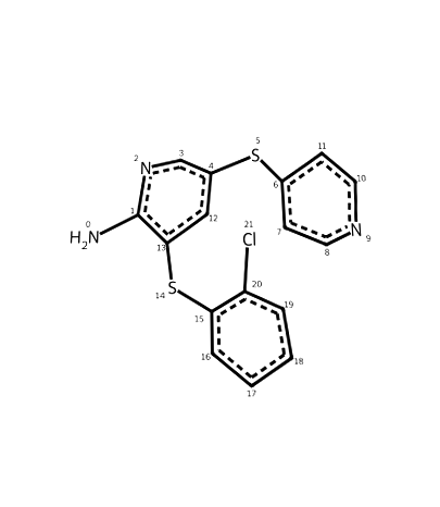 Nc1ncc(Sc2ccncc2)cc1Sc1ccccc1Cl